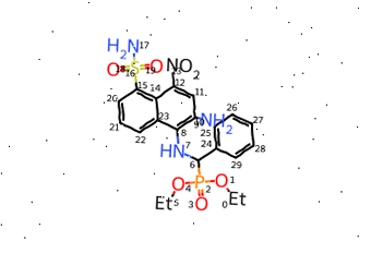 CCOP(=O)(OCC)C(Nc1c(N)cc([N+](=O)[O-])c2c(S(N)(=O)=O)cccc12)c1ccccc1